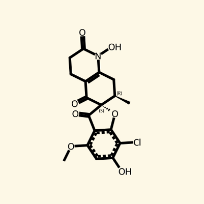 COc1cc(O)c(Cl)c2c1C(=O)[C@@]1(O2)C(=O)C2=C(C[C@H]1C)N(O)C(=O)CC2